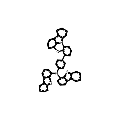 c1cc(-c2ccc(N(c3cccc4c3sc3ccccc34)c3cccc4c3sc3ccccc34)cc2)c2c(c1)-n1c3ccccc3c3cccc(c31)O2